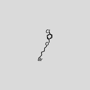 Clc1ccc(COCCCCCCBr)cc1